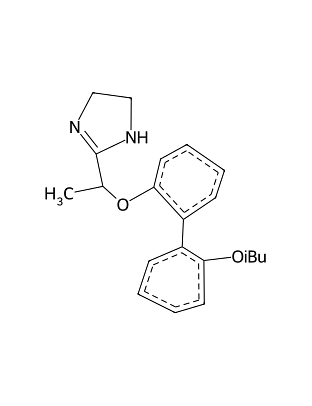 CC(C)COc1ccccc1-c1ccccc1OC(C)C1=NCCN1